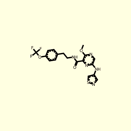 COc1ncc(Nc2cnsc2)nc1C(=O)NCCc1ccc(OC(F)(F)F)cc1